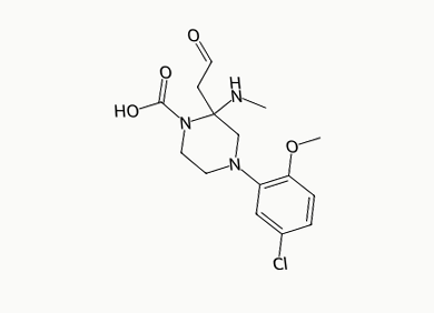 CNC1(CC=O)CN(c2cc(Cl)ccc2OC)CCN1C(=O)O